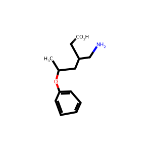 CC(CC(CN)CC(=O)O)Oc1ccccc1